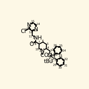 CC(C)(C)[Si](OCC1CCC(C(=O)NCc2nccnc2Cl)CN1C(=O)O)(c1ccccc1)c1ccccc1